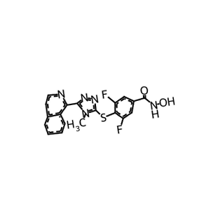 Cn1c(Sc2c(F)cc(C(=O)NO)cc2F)nnc1-c1nccc2ccccc12